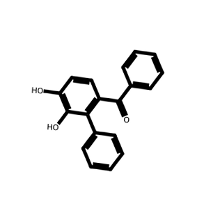 O=C(c1ccccc1)c1ccc(O)c(O)c1-c1ccccc1